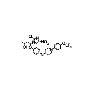 CC(O)CC(Oc1ccc(N(C)C2CCN(c3ccc(OC(F)(F)F)cc3)CC2)cc1)n1cc([N+](=O)[O-])nc1Cl